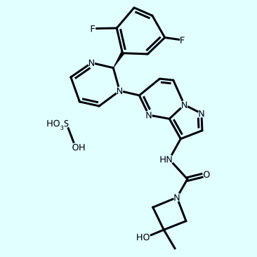 CC1(O)CN(C(=O)Nc2cnn3ccc(N4C=CC=N[C@H]4c4cc(F)ccc4F)nc23)C1.O=S(=O)(O)O